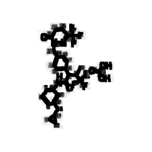 CC(C(C(=O)Nc1cccc(CC2CC2)c1)c1ccc(Cn2nc(C(F)(F)F)ccc2=O)cc1)C(F)(F)F.O=C(O)O